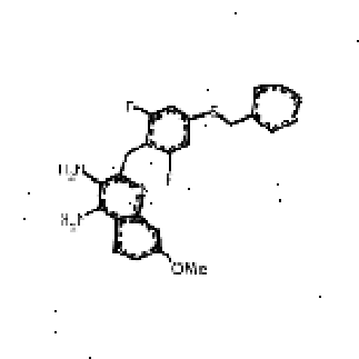 COc1ccc2c(N)c(N)c(Cc3c(F)cc(SCc4ccccc4)cc3F)nc2c1